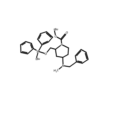 CN(Cc1ccccc1)C1CCN(C(=O)OC(C)(C)C)C(CO[Si](c2ccccc2)(c2ccccc2)C(C)(C)C)C1